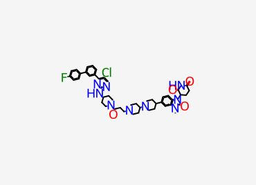 Cn1c(=O)n(C2CCC(=O)NC2=O)c2ccc(C3CCN(C4CCN(CCC(=O)N5CCC(Nc6ncc(Cl)c(-c7cccc(-c8ccc(F)cc8)c7)n6)CC5)CC4)CC3)cc21